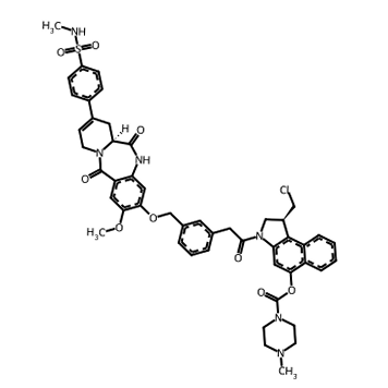 CNS(=O)(=O)c1ccc(C2=CCN3C(=O)c4cc(OC)c(OCc5cccc(CC(=O)N6C[C@@H](CCl)c7c6cc(OC(=O)N6CCN(C)CC6)c6ccccc76)c5)cc4NC(=O)[C@@H]3C2)cc1